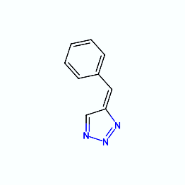 C1=NN=NC1=Cc1ccccc1